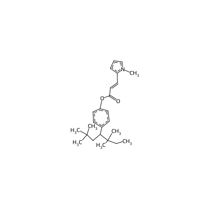 CCC(C)(C)C(CC(C)(C)C)c1ccc(OC(=O)/C=C/c2cccn2C)cc1